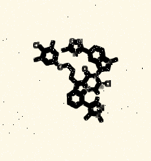 Cc1nc(-c2ccc3c(c2)c(N2C(=O)c4c(CCCOc5cc(C)c(Cl)c(C)c5)c5cccc(-c6c(C)nn(C)c6C)c5n4C(C)[C@H]2Cl)cn3C)no1